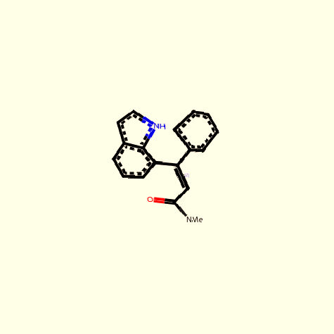 CNC(=O)/C=C(/c1ccccc1)c1cccc2cc[nH]c12